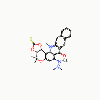 CCN(c1cc2c(c3c1c(=O)c1cc4ccccc4cc1n3C)C1OC(=S)OC1C(C)(C)O2)N(C)C